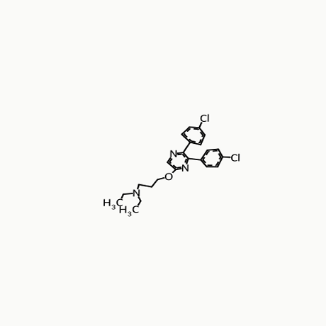 CCN(CC)CCCOc1cnc(-c2ccc(Cl)cc2)c(-c2ccc(Cl)cc2)n1